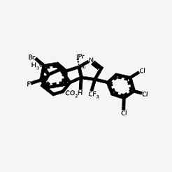 CC1CCCC(C2(C(=O)O)C(c3cc(Cl)c(Cl)c(Cl)c3)(C(F)(F)F)C=N[C@@]2(c2ccc(F)c(Br)c2)C(C)C)C1